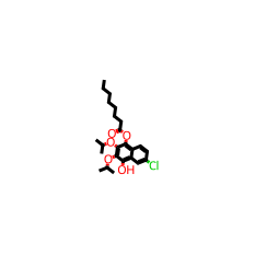 CCCCCCCC(=O)Oc1c(OC(C)C)c(OC(C)C)c(O)c2cc(Cl)ccc12